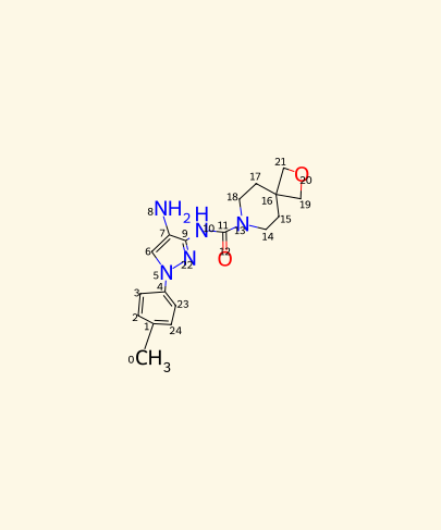 Cc1ccc(-n2cc(N)c(NC(=O)N3CCC4(CC3)COC4)n2)cc1